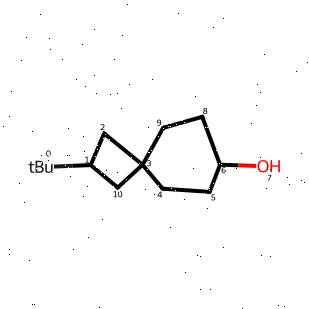 CC(C)(C)C1CC2(CCC(O)CC2)C1